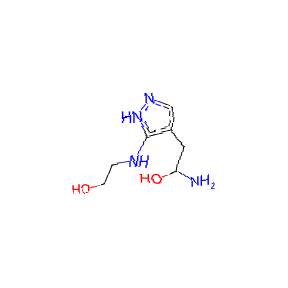 NC(O)Cc1cn[nH]c1NCCO